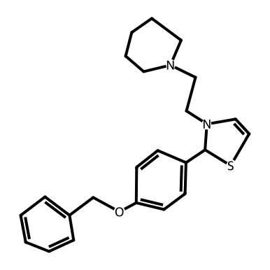 C1=CN(CCN2CCCCC2)C(c2ccc(OCc3ccccc3)cc2)S1